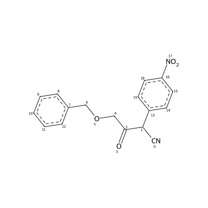 N#CC(C(=O)COCc1ccccc1)c1ccc([N+](=O)[O-])cc1